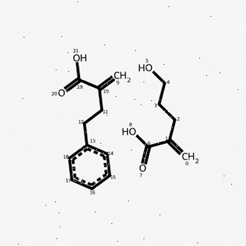 C=C(CCCO)C(=O)O.C=C(CCc1ccccc1)C(=O)O